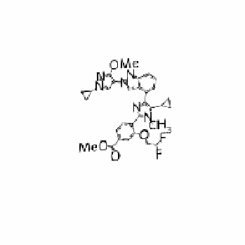 COC(=O)c1ccc(-c2nc(-c3cccc4nn(-c5cn(C6CC6)nc5OC)cc34)c(C3CC3)n2C)c(OCC(F)F)c1